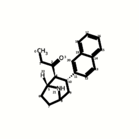 CCC(=O)[C@@H]1[C@H]2CCC(C[C@H]1c1ccc3ccccc3c1)N2